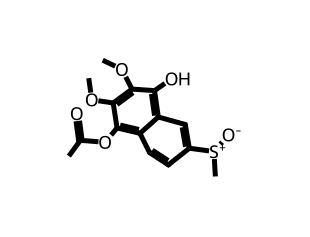 COc1c(OC)c(OC(C)=O)c2ccc([S+](C)[O-])cc2c1O